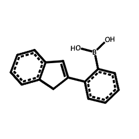 OB(O)c1ccccc1C1=Cc2ccccc2C1